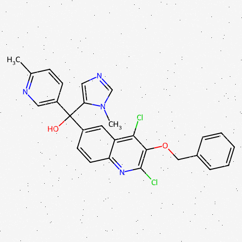 Cc1ccc(C(O)(c2ccc3nc(Cl)c(OCc4ccccc4)c(Cl)c3c2)c2cncn2C)cn1